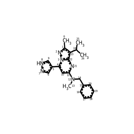 Cc1nn2c(-c3cn[nH]c3)cc(N(C)Cc3ccccc3)nc2c1C(C)C